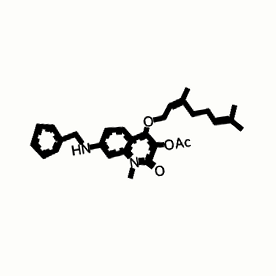 CC(=O)Oc1c(OCC=C(C)CCC=C(C)C)c2ccc(NCc3ccccc3)cc2n(C)c1=O